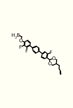 BCOc1ccc(-c2ccc(-c3ccc(C4OCC(CCC=C)CO4)c(F)c3)cc2)c(F)c1F